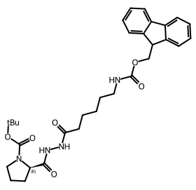 CC(C)(C)OC(=O)N1CCC[C@@H]1C(=O)NNC(=O)CCCCCNC(=O)OCC1c2ccccc2-c2ccccc21